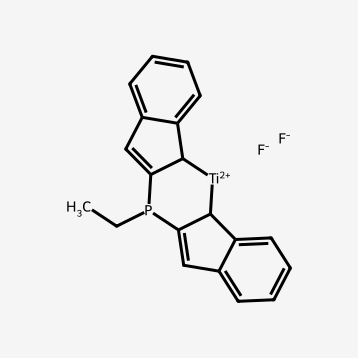 CCP1C2=Cc3ccccc3[CH]2[Ti+2][CH]2C1=Cc1ccccc12.[F-].[F-]